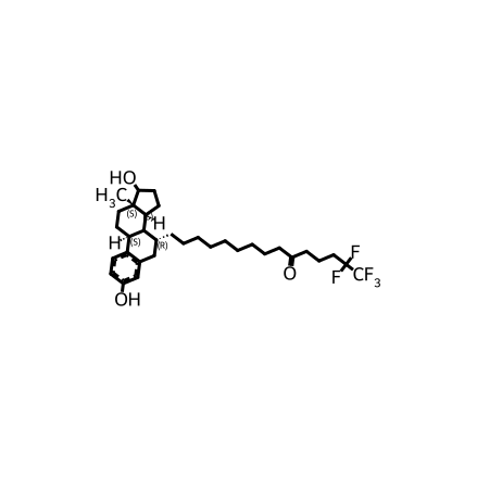 C[C@]12CC[C@@H]3c4ccc(O)cc4C[C@@H](CCCCCCCCCC(=O)CCCC(F)(F)C(F)(F)F)C3[C@@H]1CCC2O